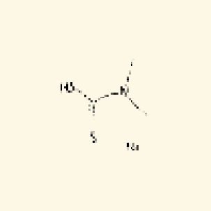 CN(C)C(=S)S.[Ni]